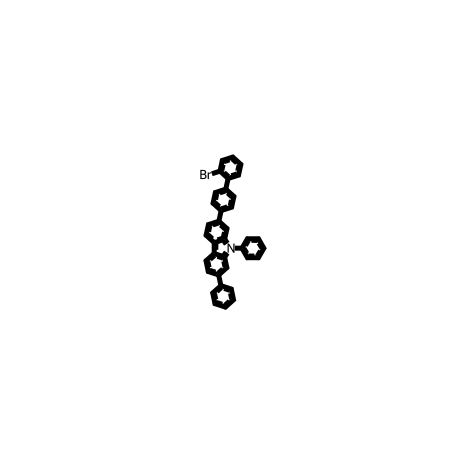 Brc1ccccc1-c1ccc(-c2ccc3c4ccc(-c5ccccc5)cc4n(-c4ccccc4)c3c2)cc1